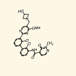 COc1nc(-c2cccc(-c3cccc(NC(=O)c4ccnn(C)c4=O)c3Cl)c2Cl)ncc1CN1CC(O)C1